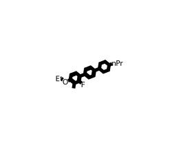 CCCC1CCC(c2ccc(-c3ccc(OCC)c(C)c3F)cc2)CC1